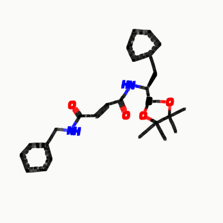 CC1(C)OB([C@H](Cc2ccccc2)NC(=O)/C=C/C(=O)NCc2ccccc2)OC1(C)C